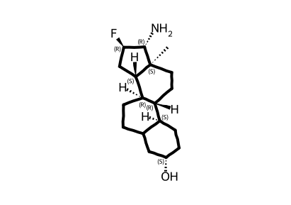 C[C@]12CC[C@H]3[C@@H](CCC4C[C@@H](O)CC[C@@H]43)[C@@H]1C[C@@H](F)[C@@H]2N